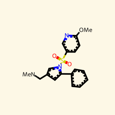 CNCc1cc(-c2ccccc2)n(S(=O)(=O)c2ccc(OC)nc2)c1